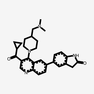 CN(C)CC1CCN(c2c(C(=O)C3CC3)cnc3ccc(-c4ccc5c(c4)CC(=O)N5)cc23)CC1